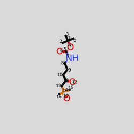 CC(C)(C)OC(=O)NCCCC(=O)CP(C)(C)=O